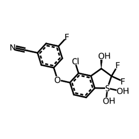 N#Cc1cc(F)cc(Oc2ccc3c(c2Cl)[C@@H](O)C(F)(F)S3(O)O)c1